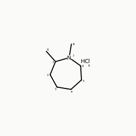 CC1CCCCCN1C.Cl